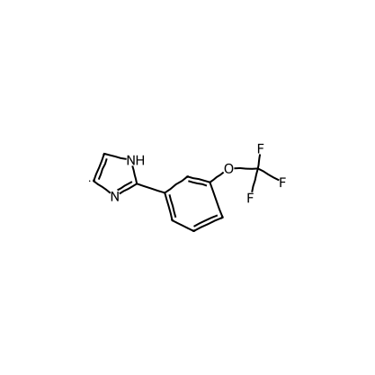 FC(F)(F)Oc1cccc(-c2n[c]c[nH]2)c1